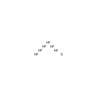 F.F.F.F.F.F.[Ti]